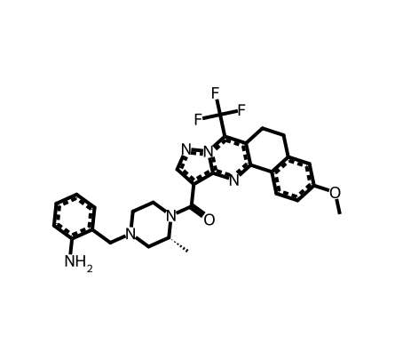 COc1ccc2c(c1)CCc1c-2nc2c(C(=O)N3CCN(Cc4ccccc4N)C[C@H]3C)cnn2c1C(F)(F)F